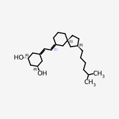 CC(C)CCCC[C@@H]1CC[C@@]2(CCC/C(=C\C=C3C[C@@H](O)C[C@H](O)C3)C2)C1